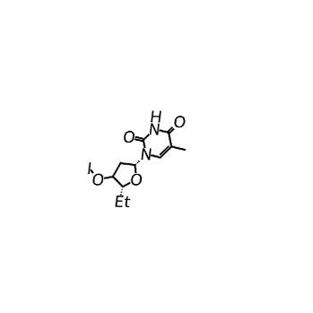 CC[C@H]1O[C@@H](n2cc(C)c(=O)[nH]c2=O)CC1OI